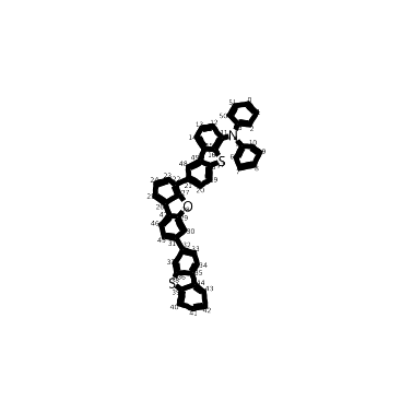 c1ccc(N(c2ccccc2)c2cccc3c2sc2ccc(-c4cccc5c4oc4cc(-c6ccc7c(c6)sc6ccccc67)ccc45)cc23)cc1